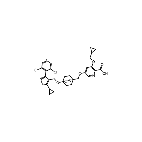 O=C(O)c1ncc(OCC23CCC(OCc4c(-c5c(Cl)cncc5Cl)noc4C4CC4)(CC2)CC3)cc1OCC1CC1